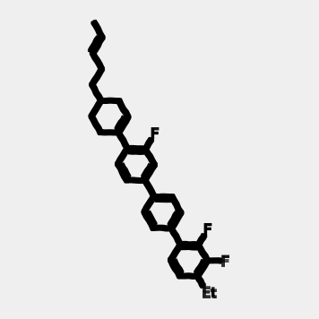 C/C=C/CCC1CC=C(c2ccc(-c3ccc(-c4ccc(CC)c(F)c4F)cc3)cc2F)CC1